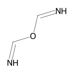 N=COC=N